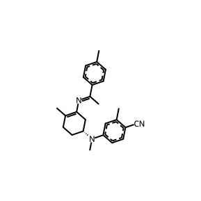 CC1=C(/N=C(\C)c2ccc(C)cc2)C[C@H](N(C)c2ccc(C#N)c(C)c2)CC1